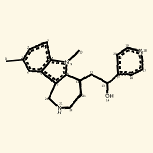 Cc1ccc2c(c1)c1c(n2C)C(CC(O)c2ccncc2)CCNC1